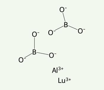 [Al+3].[Lu+3].[O-]B([O-])[O-].[O-]B([O-])[O-]